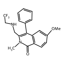 COc1ccc2c(=O)n(C)c(CNCC(F)(F)F)c(-c3ccccc3)c2c1